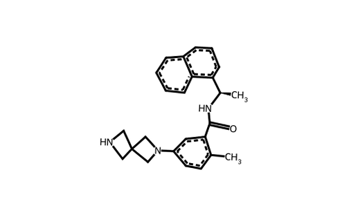 Cc1ccc(N2CC3(CNC3)C2)cc1C(=O)N[C@H](C)c1cccc2ccccc12